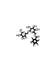 COC1OC(COC2OC(COC(=O)c3c(C)c(C)c(C)c(C)c3C)C(O)C(O)C2O)C(C)C(O)C1O